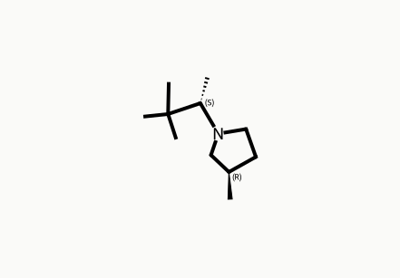 C[C@@H]1CCN([C@@H](C)C(C)(C)C)C1